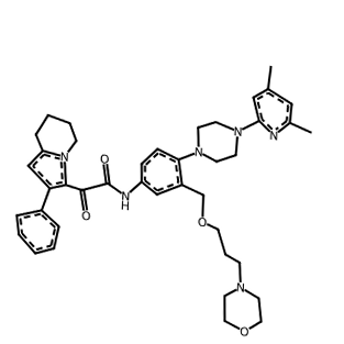 Cc1cc(C)nc(N2CCN(c3ccc(NC(=O)C(=O)c4c(-c5ccccc5)cc5n4CCCC5)cc3COCCCN3CCOCC3)CC2)c1